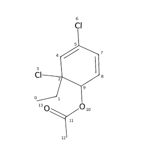 CCC1(Cl)C=C(Cl)C=CC1OC(C)=O